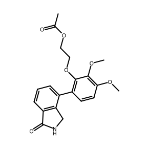 COc1ccc(-c2cccc3c2CNC3=O)c(OCCOC(C)=O)c1OC